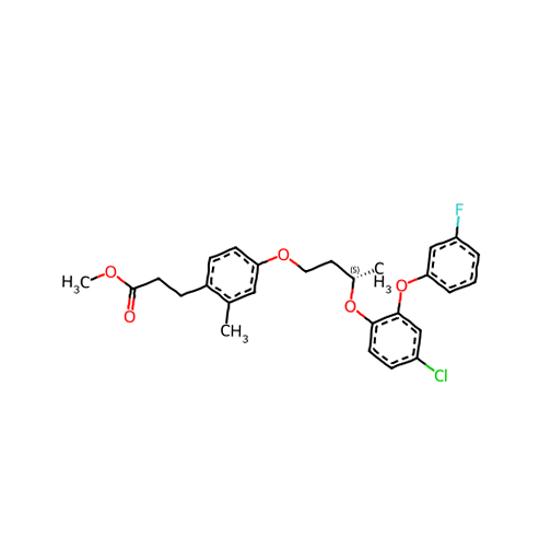 COC(=O)CCc1ccc(OCC[C@H](C)Oc2ccc(Cl)cc2Oc2cccc(F)c2)cc1C